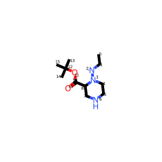 CC[N]N1CCNCC1C(=O)OC(C)(C)C